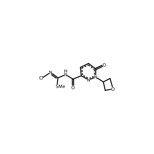 CS/C(=N\Cl)NC(=O)c1ccc(=O)n(C2COC2)n1